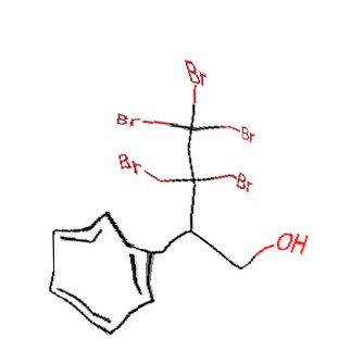 OCC(c1ccccc1)C(Br)(Br)C(Br)(Br)Br